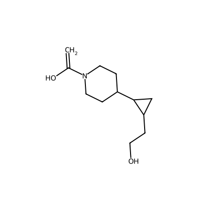 C=C(O)N1CCC(C2CC2CCO)CC1